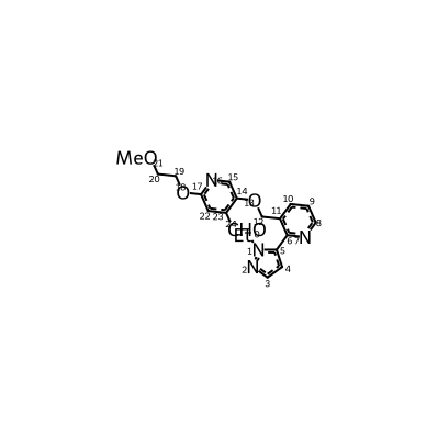 CCn1nccc1-c1ncccc1COc1cnc(OCCOC)cc1C=O